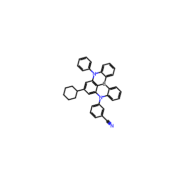 N#Cc1cccc(N2c3ccccc3B3c4ccccc4N(c4ccccc4)c4cc(C5CCCCC5)cc2c43)c1